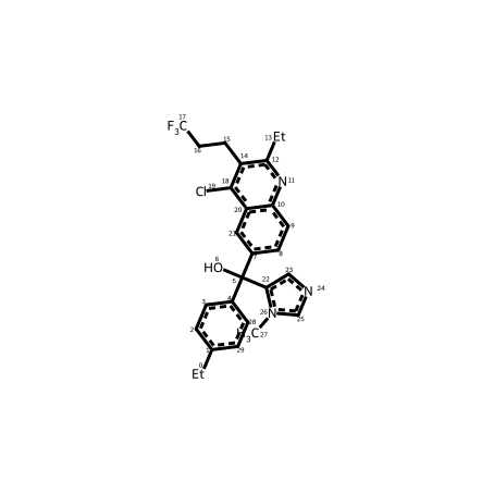 CCc1ccc(C(O)(c2ccc3nc(CC)c(CCC(F)(F)F)c(Cl)c3c2)c2cncn2C)cc1